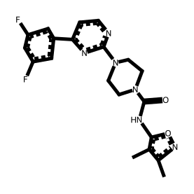 Cc1noc(NC(=O)N2CCN(c3nccc(-c4cc(F)cc(F)c4)n3)CC2)c1C